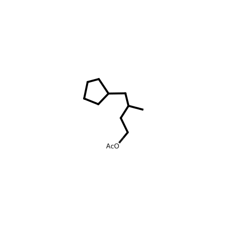 CC(=O)OCCC(C)CC1CCCC1